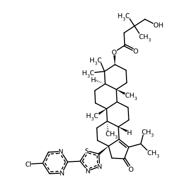 CC(C)C1=C2[C@H]3CCC4[C@@]5(C)CC[C@H](OC(=O)CC(C)(C)CO)C(C)(C)[C@@H]5CC[C@@]4(C)[C@]3(C)CC[C@@]2(c2nnc(-c3ncc(Cl)cn3)s2)CC1=O